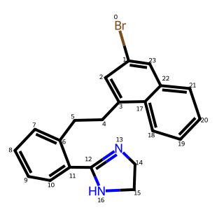 Brc1cc(CCc2ccccc2C2=NCCN2)c2ccccc2c1